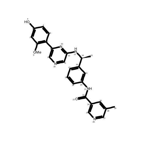 COc1cc(O)ccc1-c1cncc(N[C@@H](C)c2cccc(NC(=O)c3cncc(C)c3)c2)n1